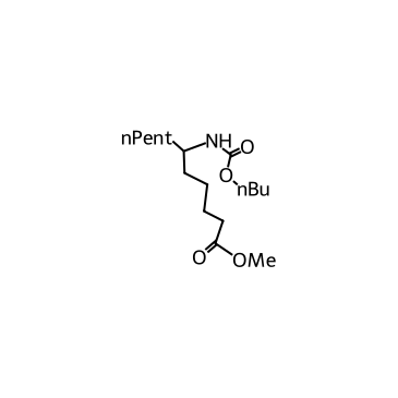 CCCCCC(CCCCC(=O)OC)NC(=O)OCCCC